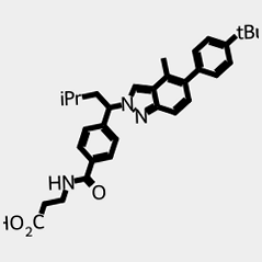 Cc1c(-c2ccc(C(C)(C)C)cc2)ccc2nn(C(CC(C)C)c3ccc(C(=O)NCCC(=O)O)cc3)cc12